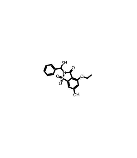 CCOc1cc(O)cc2c1C(=O)N(C(S)c1ccccc1)S2(=O)=O